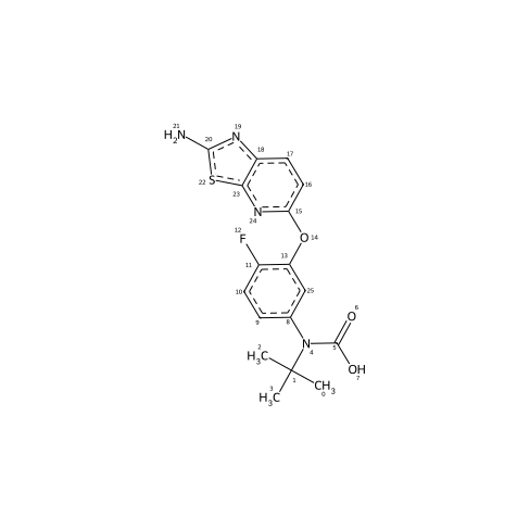 CC(C)(C)N(C(=O)O)c1ccc(F)c(Oc2ccc3nc(N)sc3n2)c1